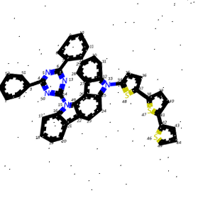 c1ccc(-c2nc(-c3ccccc3)nc(-n3c4ccccc4c4ccc5c(c6ccccc6n5-c5ccc(-c6ccc(-c7cccs7)s6)s5)c43)n2)cc1